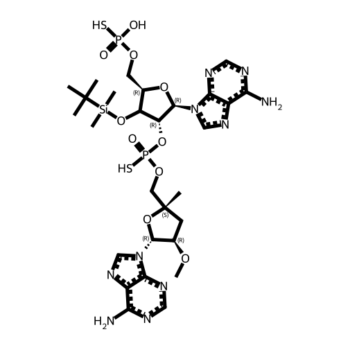 CO[C@@H]1C[C@@](C)(COP(=O)(S)O[C@@H]2C(O[Si](C)(C)C(C)(C)C)[C@@H](COP(=O)(O)S)O[C@H]2n2cnc3c(N)ncnc32)O[C@H]1n1cnc2c(N)ncnc21